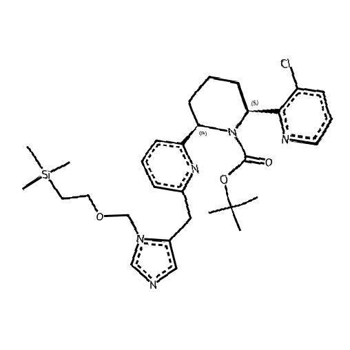 CC(C)(C)OC(=O)N1[C@@H](c2cccc(Cc3cncn3COCC[Si](C)(C)C)n2)CCC[C@H]1c1ncccc1Cl